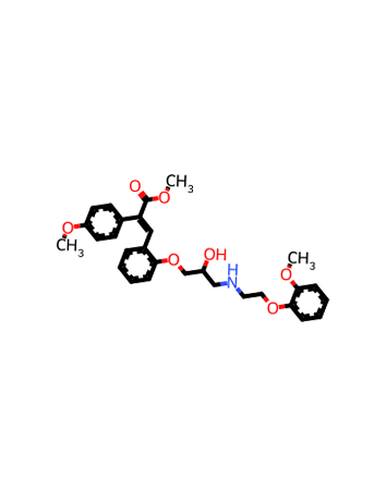 COC(=O)/C(=C/c1ccccc1OCC(O)CNCCOc1ccccc1OC)c1ccc(OC)cc1